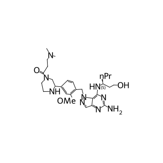 CCC[C@@H](CCO)Nc1nc(N)nc2cnn(Cc3ccc(C4CN(C(=O)CCN(C)C)CCN4)cc3OC)c12